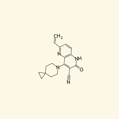 C=Cc1ccc2[nH]c(=O)c(C#N)c(N3CCC4(CC3)CC4)c2n1